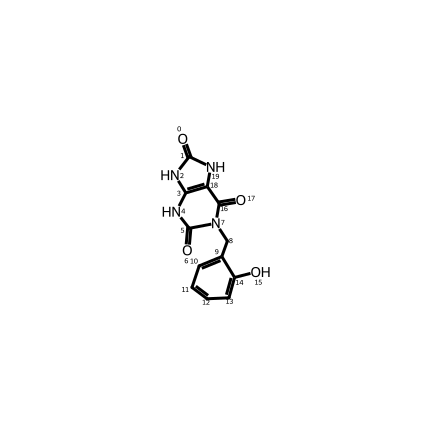 O=c1[nH]c2[nH]c(=O)n(Cc3ccccc3O)c(=O)c2[nH]1